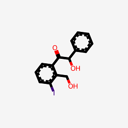 O=C(c1cccc(I)c1CO)C(O)c1ccccc1